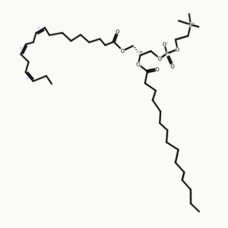 CC/C=C\C/C=C\C/C=C\CCCCCCCC(=O)OC[C@H](COP(=O)([O-])OCC[N+](C)(C)C)OC(=O)CCCCCCCCCCCCCC